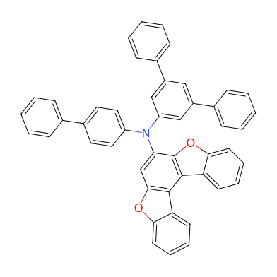 c1ccc(-c2ccc(N(c3cc(-c4ccccc4)cc(-c4ccccc4)c3)c3cc4oc5ccccc5c4c4c3oc3ccccc34)cc2)cc1